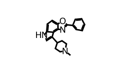 CN1CCC(c2c[nH]c3ccc4oc(-c5ccccc5)nc4c23)CC1